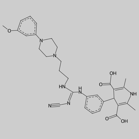 COc1cccc(N2CCN(CCCN/C(=N\C#N)Nc3cccc(C4C(C(=O)O)=C(C)NC(C)=C4C(=O)O)c3)CC2)c1